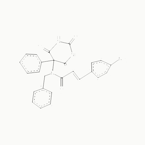 O=C1NC(=O)C(c2ccccc2)(N(Cc2ccccc2)C(=O)C=Cc2ccc([N+](=O)[O-])cc2)C(=O)N1